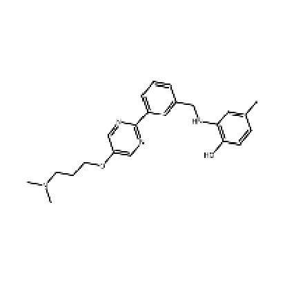 Cc1ccc(O)c(NCc2cccc(-c3ncc(OCCCN(C)C)cn3)c2)c1